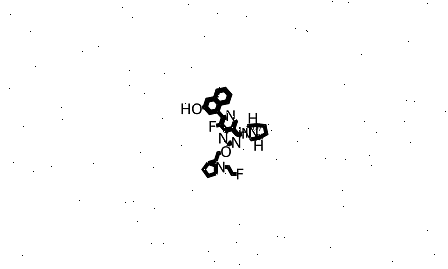 Oc1cc(-c2ncc3c(N4C[C@H]5CC[C@@H](C4)N5)nc(OCC4C5CCC(C5)N4CCF)nc3c2F)c2ccccc2c1